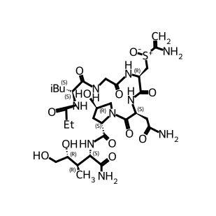 C=C(N)[S+]([O-])C[C@H](NC(=O)CNC(=O)[C@@H](NC(=O)CC)[C@@H](C)CC)C(=O)N[C@@H](CC(N)=O)C(=O)N1C[C@H](O)C[C@H]1C(=O)N[C@H](C(N)=O)[C@@H](C)[C@@H](O)CO